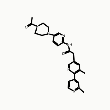 CC(=O)N1CCN(c2ccc(NC(=O)Cc3cnc(-c4ccnc(C)c4)c(C)c3)nc2)CC1